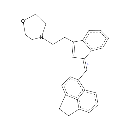 C1=C(CCN2CCOCC2)c2ccccc2/C1=C/c1ccc2c3c(cccc13)CC2